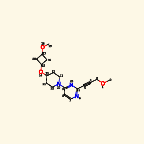 COCC#Cc1nccc(N2CCC(OC3CC(OC)C3)CC2)n1